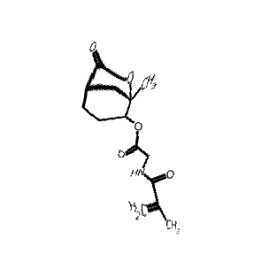 C=C(C)C(=O)NCC(=O)OC1CCC2CC1(C)OC2=O